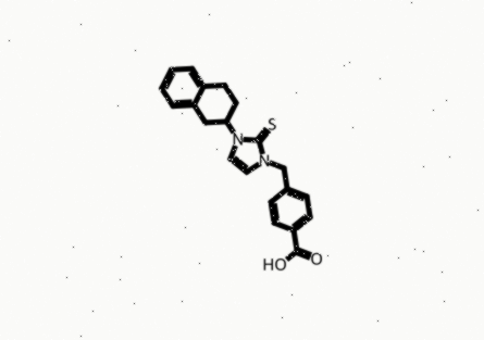 O=C(O)c1ccc(Cn2ccn(C3CCc4ccccc4C3)c2=S)cc1